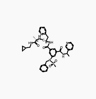 CC(NC(=O)c1cc(C(=O)N[C@H](CN[C@@H](C)C(=O)NCC2CC2)Cc2ccccn2)cc(N(Cc2ccccc2)S(C)(=O)=O)c1)c1cccnc1